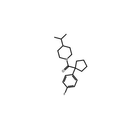 CC(C)C1CCN(C(=O)C2(c3ccc(F)cc3)CCCC2)CC1